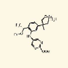 CCO[C@@H](c1ccc(C(C)(COC)CC(=O)O)cc1Nc1cnc(OC)nc1)C(F)(F)F